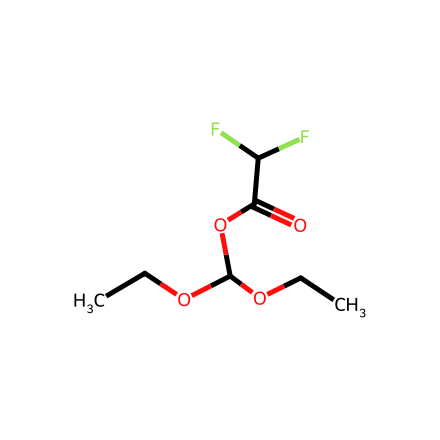 CCOC(OCC)OC(=O)C(F)F